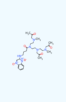 CC(=O)CN(C)CCN(CCN(CCN(C)CC(C)=O)C(=O)CCCNC1C=[N+]([O-])c2ccccc2[NH+]1[O-])CC(C)=O